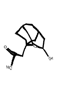 O=C(O)CC12CC3CC(CC(O)(C3)O1)C2